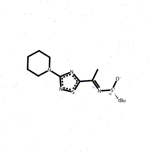 C/C(=N\[S@+]([O-])C(C)(C)C)c1nc(N2CCCCC2)ns1